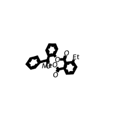 CCc1cccc(C(=O)OC)c1C(=O)Oc1ccccc1C(=O)c1ccccc1